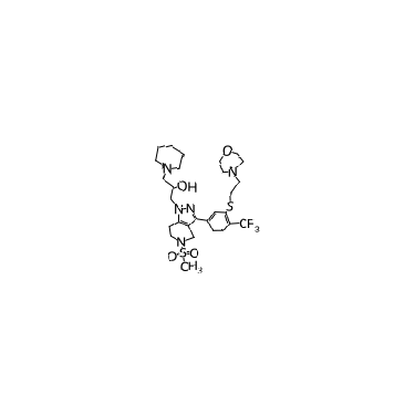 CS(=O)(=O)N1CCc2c(c(-c3ccc(C(F)(F)F)c(SCCN4CCOCC4)c3)nn2CC(O)CN2CCCCC2)C1